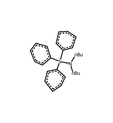 CCCCN(CCCC)[Si](c1ccccc1)(c1ccccc1)c1ccccc1